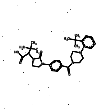 CC(C)(C)c1ccccc1N1CCN(C(=O)c2ccc(N3CCN(C(C(=O)O)C(C)(C)C)C3=O)cc2)CC1